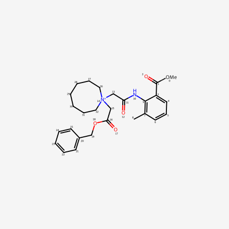 COC(=O)c1cccc(C)c1NC(=O)C[N+]1(CC(=O)OCc2ccccc2)CCCCCCC1